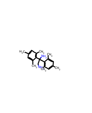 Cc1cc(C)c(C(N)(CN)c2c(C)cc(C)cc2C)c(C)c1